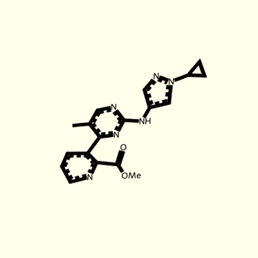 COC(=O)c1ncccc1-c1nc(Nc2cnn(C3CC3)c2)ncc1C